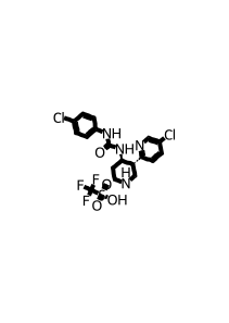 O=C(Nc1ccc(Cl)cc1)N[C@@H]1CCNC[C@H]1c1ccc(Cl)cn1.O=S(=O)(O)C(F)(F)F